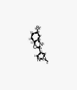 Cn1cc(-c2nc3cc(Br)ccc3o2)cn1